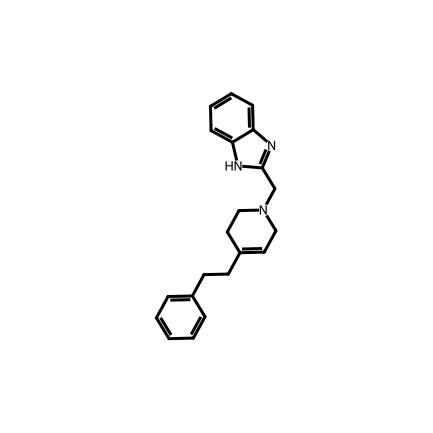 C1=C(CCc2ccccc2)CCN(Cc2nc3ccccc3[nH]2)C1